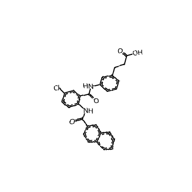 O=C(O)CCc1cccc(NC(=O)c2cc(Cl)ccc2NC(=O)c2ccc3ccccc3c2)c1